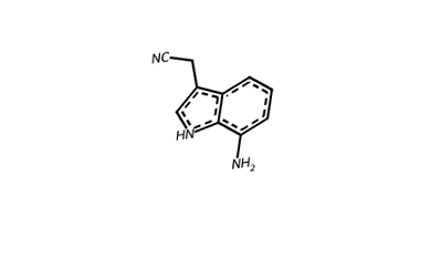 N#CCc1c[nH]c2c(N)cccc12